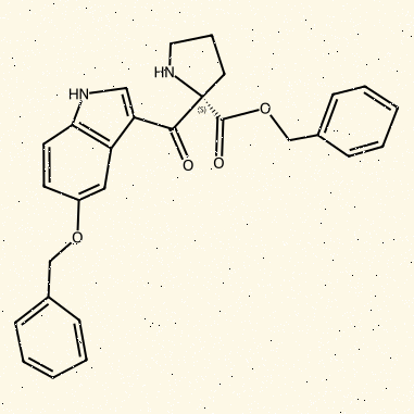 O=C(OCc1ccccc1)[C@@]1(C(=O)c2c[nH]c3ccc(OCc4ccccc4)cc23)CCCN1